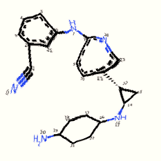 N#Cc1cccc(Nc2ccc([C@@H]3C[C@H]3NC3CCC(N)CC3)cn2)c1